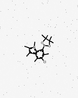 Cc1c(Cl)c(C)c2c(C)c(C)n(C)c2c1B1OC(C)(C)C(C)(C)O1